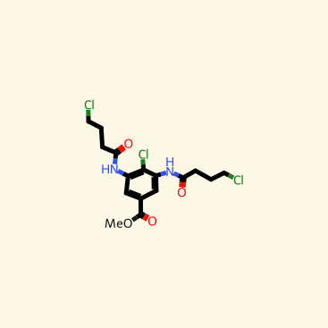 COC(=O)c1cc(NC(=O)CCCCl)c(Cl)c(NC(=O)CCCCl)c1